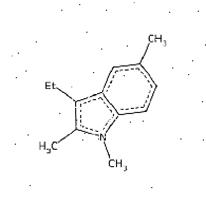 CCc1c(C)n(C)c2ccc(C)cc12